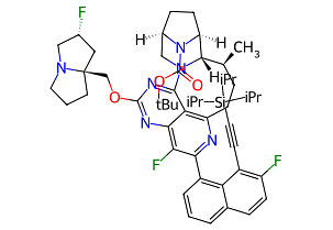 CC(C)[Si](C#Cc1c(F)ccc2cccc(-c3nc4c5c(nc(OC[C@@]67CCCN6C[C@H](F)C7)nc5c3F)N3C[C@H]5CC[C@@H]([C@@H]3[C@@H](C)CC4)N5C(=O)OC(C)(C)C)c12)(C(C)C)C(C)C